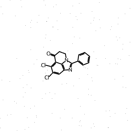 O=C1CCn2c(-c3ccccc3)nc3cc(Cl)c(Cl)c1c32